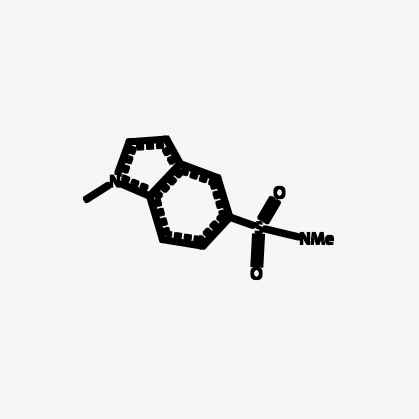 CNS(=O)(=O)c1ccc2c(ccn2C)c1